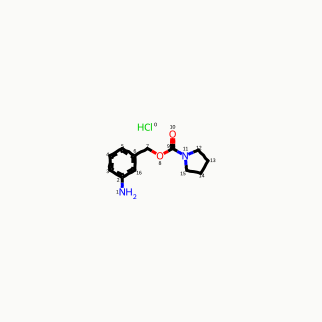 Cl.Nc1cccc(COC(=O)N2CCCC2)c1